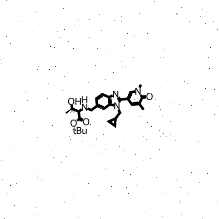 Cc1cc(-c2nc3ccc(CNC(C(=O)OC(C)(C)C)[C@@H](C)O)cc3n2CC2CC2)cn(C)c1=O